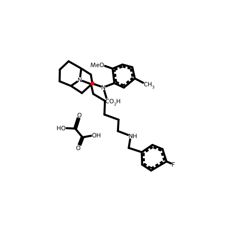 COc1ccc(C)cc1N(C(=O)O)C1CC2CCCC(C1)N2CCCCCCNCc1ccc(F)cc1.O=C(O)C(=O)O